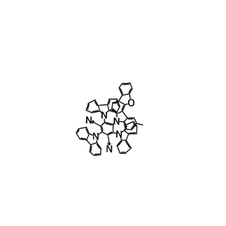 Cc1ccc2c(c1)c1c3oc4ccccc4c3ccc1n2-c1c(-n2c3ccccc3c3ccccc32)c(C#N)c(-n2c3ccccc3c3ccccc32)c(C#N)c1-n1c2ccccc2c2ccccc21